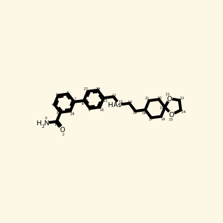 NC(=O)c1cccc(-c2ccc(C[AsH]CCC3CCC4(CC3)OCCO4)cc2)c1